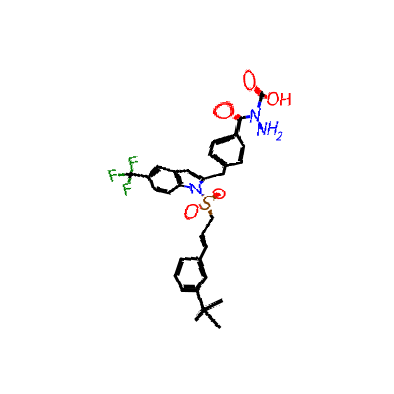 CC(C)(C)c1cccc(C=CCS(=O)(=O)n2c(Cc3ccc(C(=O)N(N)C(=O)O)cc3)cc3cc(C(F)(F)F)ccc32)c1